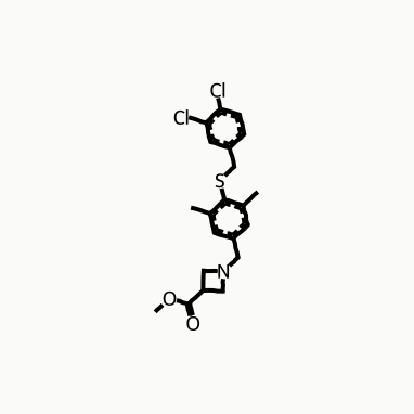 COC(=O)C1CN(Cc2cc(C)c(SCc3ccc(Cl)c(Cl)c3)c(C)c2)C1